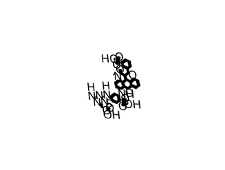 CNc1nc(C)nc(Nc2cc(Nc3ccc4c5c3C(=O)c3ccccc3-c5c(C(=O)c3cccc(S(=O)(=O)O)c3)c(=O)n4C)c(S(=O)(=O)O)cc2SOOO)n1